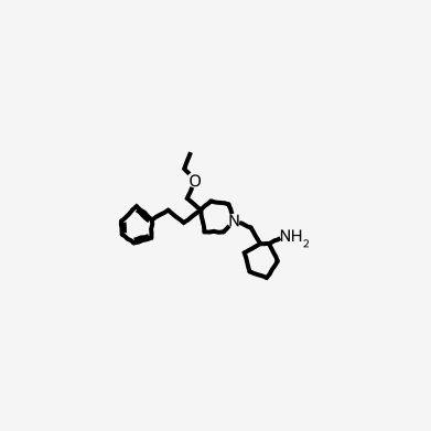 CCOCC1(CCc2ccccc2)CCN(CC2CCCCC2N)CC1